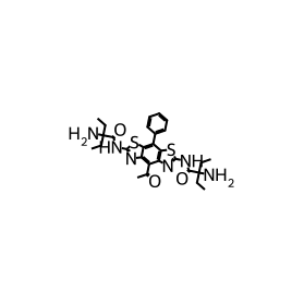 CCC(N)(CC)C(=O)Nc1nc2c(C(C)=O)c3nc(NC(=O)C(N)(CC)CC)sc3c(-c3ccccc3)c2s1